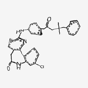 CC(C)(CC(=O)c1ccc(Nc2ncc3c(n2)-c2ccc(Cl)cc2NC(=O)C3)cc1)c1ccccc1